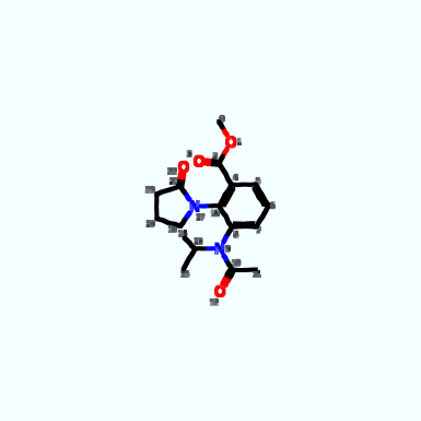 COC(=O)c1cccc(N(C(C)=O)C(C)C)c1N1CCCC1=O